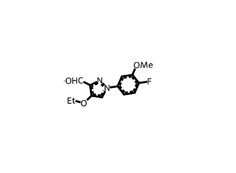 CCOc1cn(-c2ccc(F)c(OC)c2)nc1[C]=O